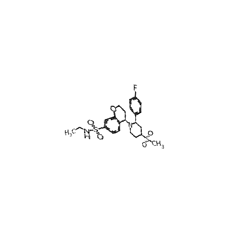 CCNS(=O)(=O)c1ccc2c(c1)OCC[C@H]2N1CC[C@H](S(C)(=O)=O)C[C@@H]1c1ccc(F)cc1